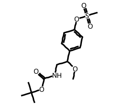 COC(CNC(=O)OC(C)(C)C)c1ccc(OS(C)(=O)=O)cc1